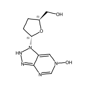 OC[C@@H]1CC[C@@H](N2NN=C3N=CN(O)C=C32)O1